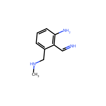 CNCc1cccc(N)c1C=N